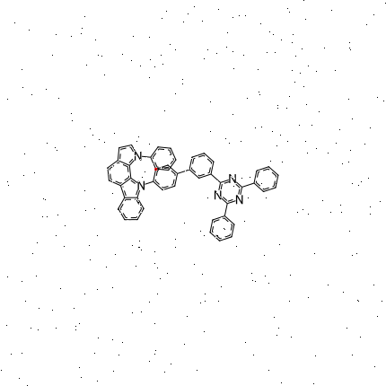 c1ccc(-c2nc(-c3ccccc3)nc(-c3cccc(-c4ccc(-n5c6ccccc6c6ccc7ccn(-c8ccccc8)c7c65)cc4)c3)n2)cc1